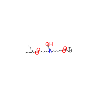 CCCCCC(CCCCC)CCOC(=O)CCCCCCCN(CCCCO)CCCCCCCCOC(=O)CC12CC3CC(CC(C3)C1)C2